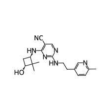 Cc1ccc(CCNc2ncc(C#N)c(N[C@@H]3C[C@H](O)C3(C)C)n2)cn1